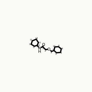 O=C(COCC1CCCCC1)NC1CCCCC1